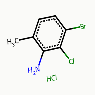 Cc1ccc(Br)c(Cl)c1N.Cl